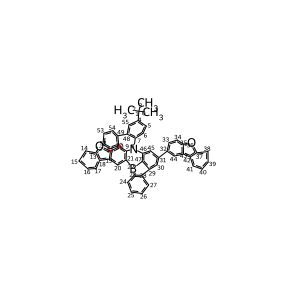 CC(C)(C)c1ccc(N2c3cc4oc5ccccc5c4cc3B3c4ccccc4-c4cc(-c5ccc6oc7ccccc7c6c5)cc2c43)c(-c2ccccc2)c1